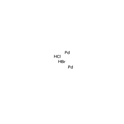 Br.Cl.[Pd].[Pd]